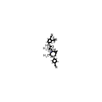 CC1/C=C(/CC(C)(O)C(=O)Nc2ccc(C#N)c(C(F)(F)F)c2)[C@H]2CC2CN(c2ccc(C#N)cc2)C1